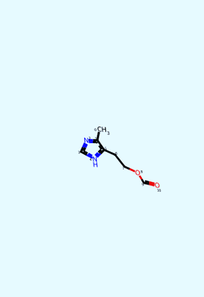 Cc1nc[nH]c1CCOC=O